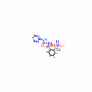 O=C(Nc1ncncn1)NS(=O)(=O)c1ccccc1S(=O)(=O)NO